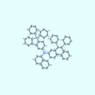 c1ccc(-c2c(-c3ccccc3)c3cc(N(c4ccc5c(c4)-c4ccccc4C5(c4ccccc4)c4ccccc4)c4cccc5ccccc45)ccc3c3ccccc23)cc1